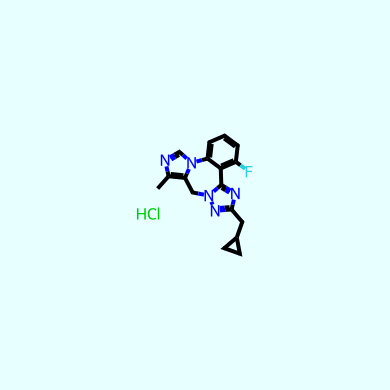 Cc1ncn2c1Cn1nc(CC3CC3)nc1-c1c(F)cccc1-2.Cl